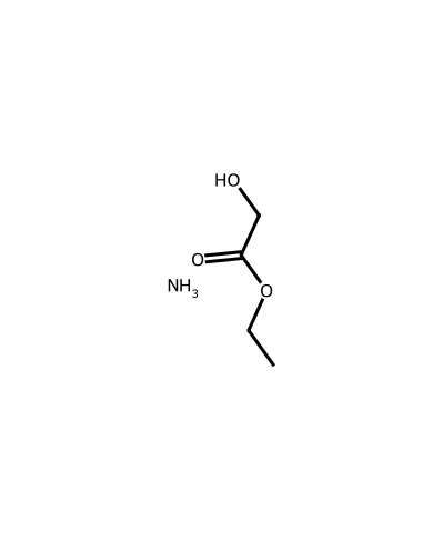 CCOC(=O)CO.N